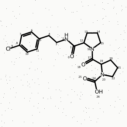 O=C(NCCc1ccc(Cl)cc1)C1CCCN1C(=O)C1CCCN1C(=O)O